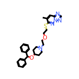 Cc1cc2ncnn2nc1SCCOCCN1CCC(OC(c2ccccc2)c2ccccc2)CC1